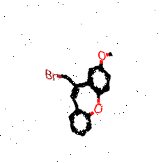 COc1ccc2c(c1)C(CBr)=Cc1ccccc1O2